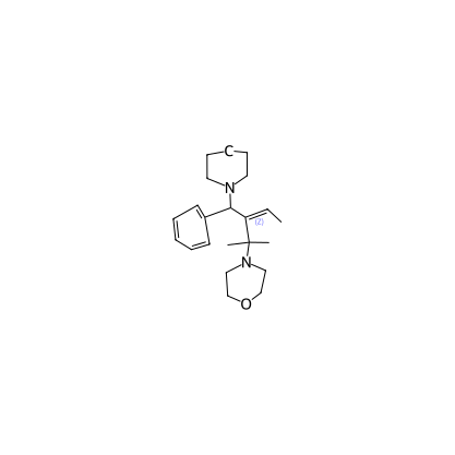 C/C=C(/C(c1ccccc1)N1CCCCC1)C(C)(C)N1CCOCC1